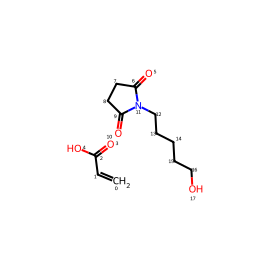 C=CC(=O)O.O=C1CCC(=O)N1CCCCCO